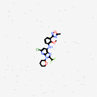 COc1c(Nc2cc(Cl)nc3c2nc(C(F)F)n3C2CCCCO2)cccc1-c1noc(C)n1